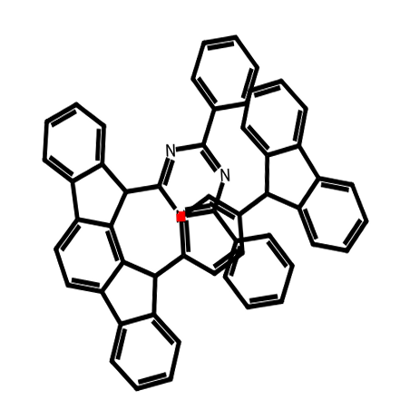 c1ccc(-c2nc(-c3ccccc3)nc(C3c4ccccc4-c4ccc5c(c43)C(c3ccc(C4c6ccccc6-c6ccccc64)cc3)c3ccccc3-5)n2)cc1